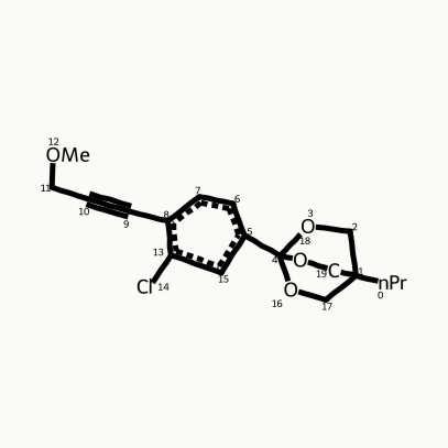 CCCC12COC(c3ccc(C#CCOC)c(Cl)c3)(OC1)OC2